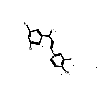 Cc1ccc(/C=C/C(c2cc(Br)cc(Br)c2)C(F)(F)F)cc1Cl